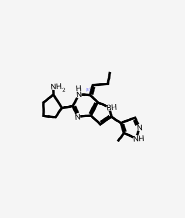 CC/C=C1/NC(C2CCCC2N)=NC2=C1BC(c1cn[nH]c1C)=C2